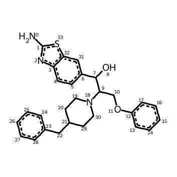 Nc1nc2ccc(C(O)C(COc3ccccc3)N3CCC(Cc4ccccc4)CC3)cc2s1